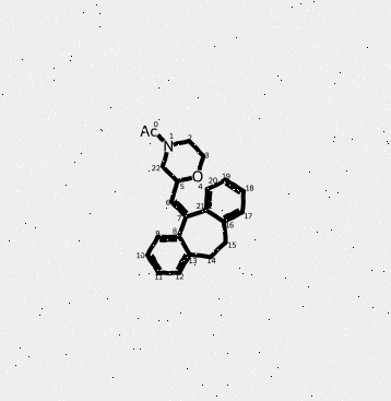 CC(=O)N1CCOC(C=C2c3ccccc3CCc3ccccc32)C1